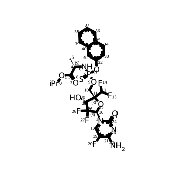 CC(C)OC(=O)[C@H](C)NP(=S)(OC[C@@]1(C(F)F)O[C@@H](n2cc(F)c(N)nc2=O)C(F)(F)[C@@H]1O)Oc1ccc2ccccc2c1